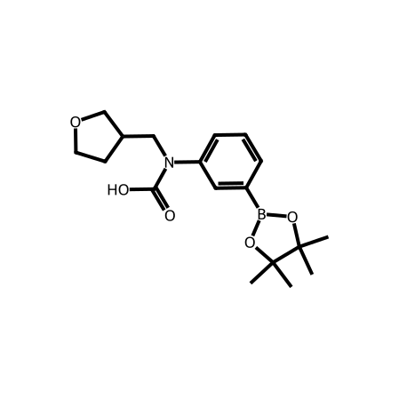 CC1(C)OB(c2cccc(N(CC3CCOC3)C(=O)O)c2)OC1(C)C